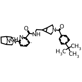 CN1C2CCC1CN(c1cc[c]c(C(=O)NCC3C4CN(C(=O)c5ccc(C(C)(C)C)cc5)CC34)n1)C2